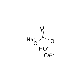 O=C([O-])[O-].[Ca+2].[Na+].[OH-]